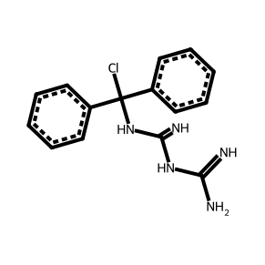 N=C(N)NC(=N)NC(Cl)(c1ccccc1)c1ccccc1